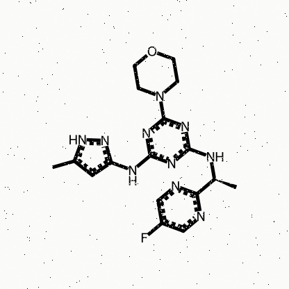 Cc1cc(Nc2nc(N[C@@H](C)c3ncc(F)cn3)nc(N3CCOCC3)n2)n[nH]1